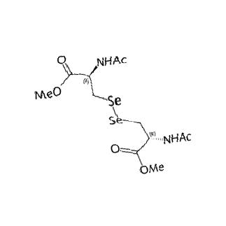 COC(=O)[C@H](C[Se][Se]C[C@H](NC(C)=O)C(=O)OC)NC(C)=O